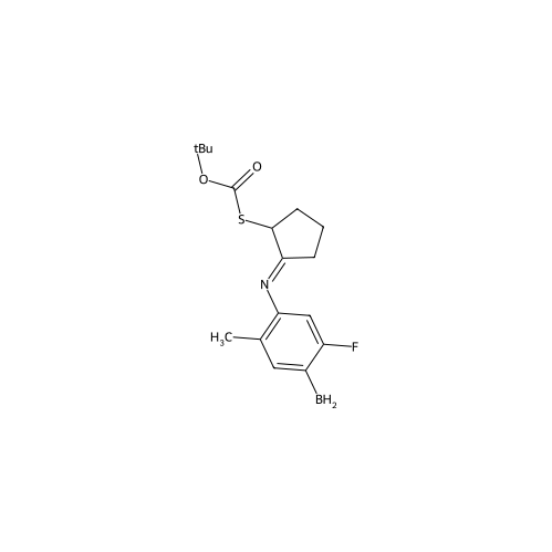 Bc1cc(C)c(/N=C2\CCCC2SC(=O)OC(C)(C)C)cc1F